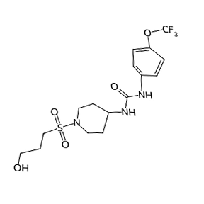 O=C(Nc1ccc(OC(F)(F)F)cc1)NC1CCN(S(=O)(=O)CCCO)CC1